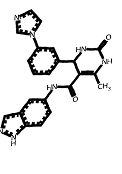 CC1=C(C(=O)Nc2ccc3[nH]ncc3c2)C(c2cccc(-n3ccnc3)c2)NC(=O)N1